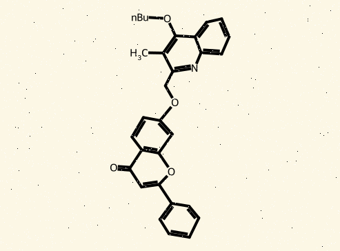 CCCCOc1c(C)c(COc2ccc3c(=O)cc(-c4ccccc4)oc3c2)nc2ccccc12